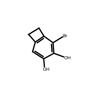 Oc1cc2c(c(Br)c1O)CC2